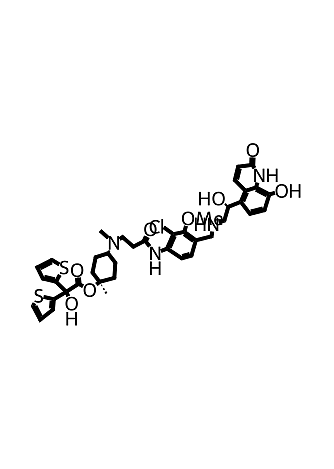 COc1c(CNC[C@H](O)c2ccc(O)c3[nH]c(=O)ccc23)ccc(NC(=O)CCN(C)[C@H]2CC[C@](C)(OC(=O)C(O)(c3cccs3)c3cccs3)CC2)c1Cl